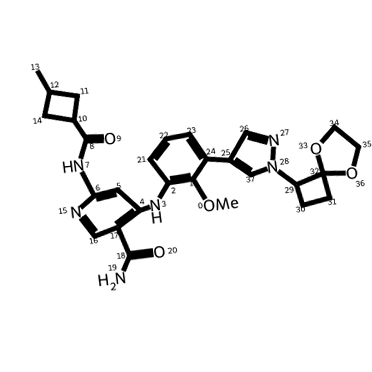 COc1c(Nc2cc(NC(=O)C3CC(C)C3)ncc2C(N)=O)cccc1-c1cnn(C2CCC23OCCO3)c1